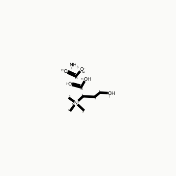 C[N+](C)(C)CCCO.N.O=CO.O=C[O-]